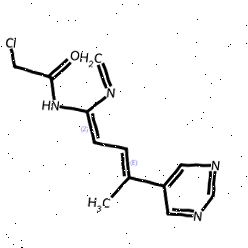 C=N/C(=C\C=C(/C)c1cncnc1)NC(=O)CCl